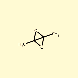 CC12OC1(C)O2